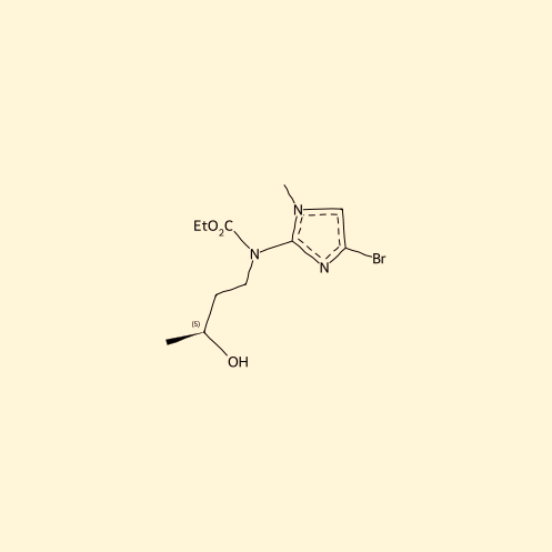 CCOC(=O)N(CC[C@H](C)O)c1nc(Br)cn1C